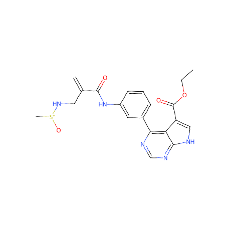 C=C(CN[S+](C)[O-])C(=O)Nc1cccc(-c2ncnc3[nH]cc(C(=O)OCC)c23)c1